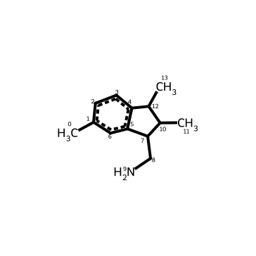 Cc1ccc2c(c1)C(CN)C(C)C2C